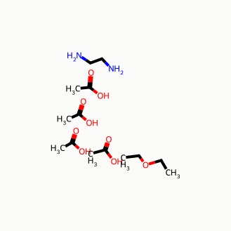 CC(=O)O.CC(=O)O.CC(=O)O.CC(=O)O.CCOCC.NCCN